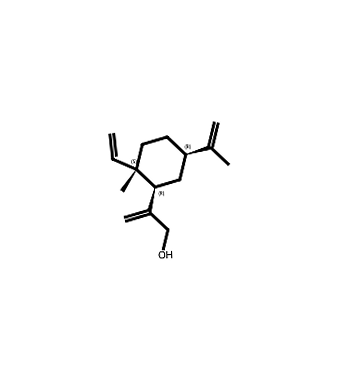 C=C[C@]1(C)CC[C@@H](C(=C)C)C[C@H]1C(=C)CO